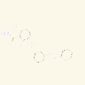 NC(=O)c1c(F)ccc(OCc2cccc(OCc3ccccc3)c2)c1F